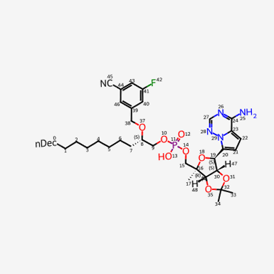 CCCCCCCCCCCCCCCCC[C@@H](COP(=O)(O)OC[C@@]1(C)O[C@@H](c2ccc3c(N)ncnn23)[C@@H]2OC(C)(C)O[C@@H]21)OCc1cc(F)cc(C#N)c1